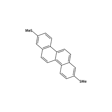 CSc1ccc2c(ccc3c4ccc(SC)cc4ccc23)c1